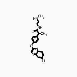 CNCCNC(=O)C(C)c1ccc(Oc2cnc3cc(Cl)ccc3n2)cc1